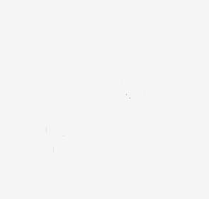 COC1(C(=O)ON2C(=O)c3ccccc3C2=O)CCC(F)(F)CC1